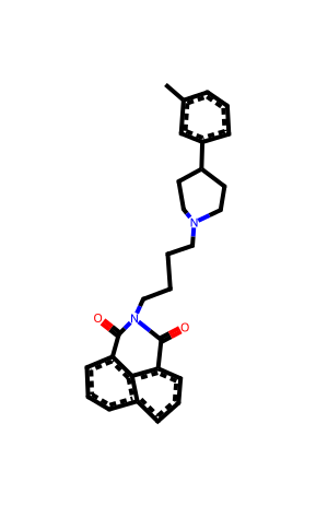 Cc1cccc(C2CCN(CCCCN3C(=O)c4cccc5cccc(c45)C3=O)CC2)c1